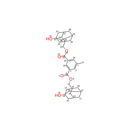 Cc1cc(C(=O)OCC23CC4CC(CC(O)(C4)C2)C3)cc(C(=O)OCC23CC4CC(CC(O)(C4)C2)C3)c1